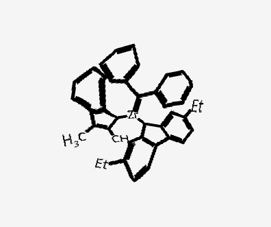 CCc1ccc2c(c1)[CH]([Zr](=[C](c1ccccc1)c1ccccc1)[CH]1C(C)=C(C)c3ccccc31)c1cc(CC)ccc1-2